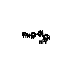 CCCc1cc(-n2cc(-c3ccc(NC(C)C)nc3)cn2)ccn1